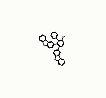 N#Cc1ccc(-c2ccc3oc4ccccc4c3c2)c(-c2ccc3oc4ccccc4c3c2)c1-c1ccccc1